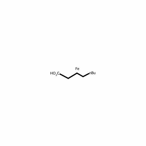 CCCCCCCC(=O)O.[Fe]